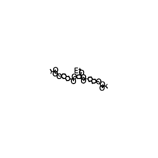 C=C(C)C(=O)OCOc1ccc2cc(C(=O)Oc3ccc(OC(=O)c4ccc5cc(OCOC(=O)C(=C)C)ccc5c4)c(OCC)c3)ccc2c1